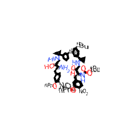 CCCOc1cc(C[C@H](N)[C@H](O)CNC2(c3cccc(C(C)(C)C)c3)CC2)ccc1[N+](=O)[O-].CCCOc1cc(C[C@H](NC(=O)OC(C)(C)C)[C@H](O)CNC2(c3cccc(C(C)(C)C)c3)CC2)ccc1[N+](=O)[O-]